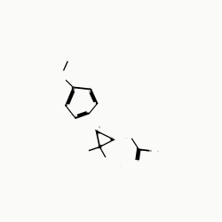 COc1ccc([C@@H]2[C@H](CC(=O)O)C2(C)C)cc1